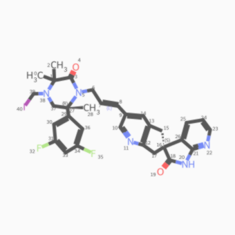 CC1(C)C(=O)N(C/C=C/c2cnc3c(c2)C[C@@]2(C3)C(=O)Nc3ncccc32)[C@](C)(c2cc(F)cc(F)c2)CN1CI